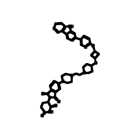 O=C1CCC(N2C(=O)c3ccc(N4CCN(CCN5CCC(O[C@H]6C[C@H](Oc7ccc(-c8ccc9c(c8)[nH]c8ccncc89)cn7)C6)CC5)CC4)cc3C2=O)C(=O)N1